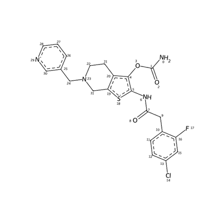 NC(=O)Oc1c(NC(=O)Cc2ccc(Cl)cc2F)sc2c1CCN(Cc1cccnc1)C2